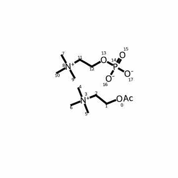 CC(=O)OCC[N+](C)(C)C.C[N+](C)(C)CCOP(=O)([O-])[O-]